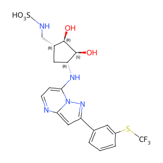 O=S(=O)(O)NC[C@H]1C[C@@H](Nc2ccnc3cc(-c4cccc(SC(F)(F)F)c4)nn23)[C@H](O)[C@@H]1O